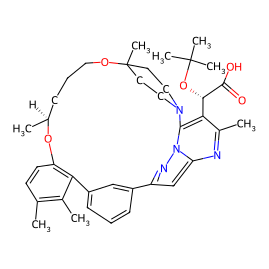 Cc1ccc2c(c1C)-c1cccc(c1)-c1cc3nc(C)c([C@H](OC(C)(C)C)C(=O)O)c(n3n1)N1CCC(C)(CC1)OCCC[C@H](C)O2